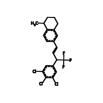 CC1CCCc2cc(/C=C/C(c3cc(Cl)c(Cl)c(Cl)c3)C(F)(F)F)ccc21